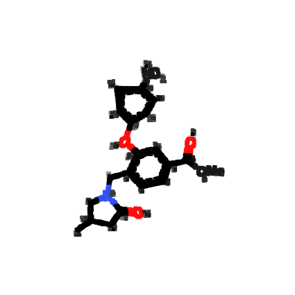 COC(=O)c1ccc(CN2CC(C)CC2=O)c(Oc2ccc([N+](=O)[O-])cc2)c1